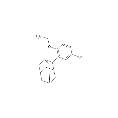 FC(F)(F)COc1ccc(Br)cc1C1C2CC3CC(C2)CC1C3